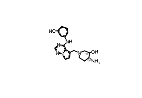 N#Cc1cccc(Nc2ncnn3ccc(CN4CC[C@H](N)[C@H](O)C4)c23)c1